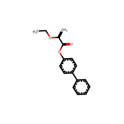 C=C(OCC)C(=O)Oc1ccc(-c2ccccc2)cc1